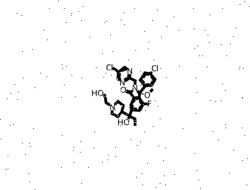 CCC(O)(c1cc(F)c2c(c1)C(=O)N(Cc1ncc(Cl)cn1)[C@@]2(OC)c1ccc(Cl)cc1)C1CCN(CCO)CC1